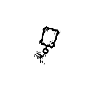 CC(CP(=O)(O)O)Oc1ccc(-c2c3nc(cc4ccc(cc5nc(cc6ccc2[nH]6)C=C5)[nH]4)C=C3)cc1